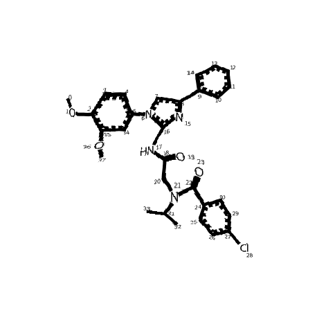 COc1ccc(-n2cc(-c3ccccc3)nc2NC(=O)CN(C(=O)c2ccc(Cl)cc2)C(C)C)cc1OC